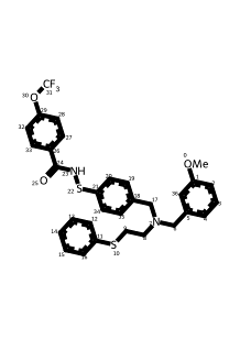 COc1cccc(CN(CCSc2ccccc2)Cc2ccc(SNC(=O)c3ccc(OC(F)(F)F)cc3)cc2)c1